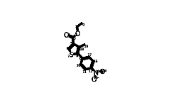 CCOC(=O)c1csc(-c2ccc([N+](=O)[O-])cc2)c1C